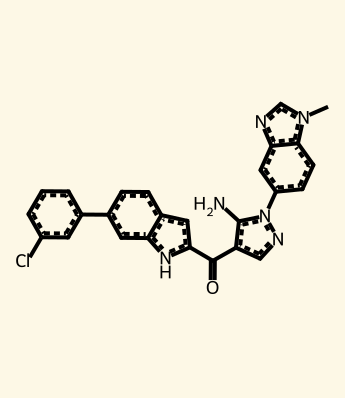 Cn1cnc2cc(-n3ncc(C(=O)c4cc5ccc(-c6cccc(Cl)c6)cc5[nH]4)c3N)ccc21